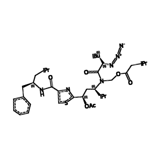 CC[C@H](C)[C@H](N=[N+]=[N-])C(=O)N(COC(=O)CC(C)C)[C@H](C[C@@H](OC(C)=O)c1nc(C(=O)N[C@@H](Cc2ccccc2)CC(C)C)cs1)C(C)C